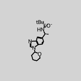 C[C@H](N[S@@+]([O-])C(C)(C)C)c1ccc2c(c1)ncn2C1CCCCO1